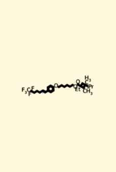 CCC1(C(=O)OCCCCCCOc2ccc(/C=C/CCCC(F)(F)C(F)(F)F)cc2)CC(C)(C(C)C)C1C